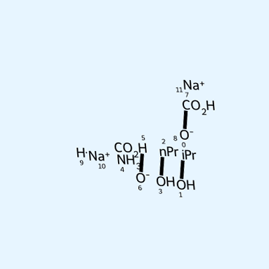 CC(C)O.CCCO.N.O=C([O-])O.O=C([O-])O.[H].[Na+].[Na+]